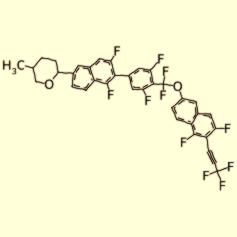 CC1CCC(c2ccc3c(F)c(-c4cc(F)c(C(F)(F)Oc5ccc6c(F)c(C#CC(F)(F)F)c(F)cc6c5)c(F)c4)c(F)cc3c2)OC1